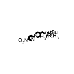 CC(C)(C)[Si](C)(C)OCCC1CCN(c2ccc([N+](=O)[O-])cn2)CC1